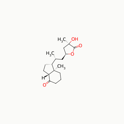 C[C@H](C[C@H]1C[C@@](C)(O)C(=O)O1)[C@H]1CC[C@H]2C(=O)CCC[C@]12C